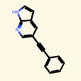 C(#Cc1cnc2[nH]ccc2c1)c1ccccc1